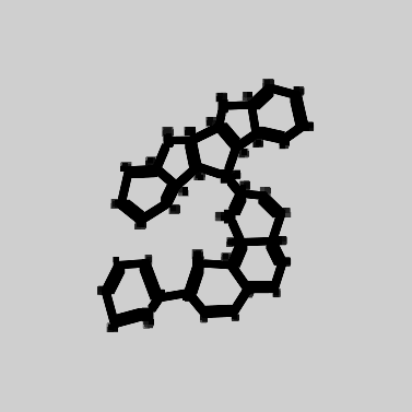 c1ccc(-c2ccc3ccc4ccc(-n5c6c7ccccc7sc6c6sc7ccccc7c65)nc4c3n2)nc1